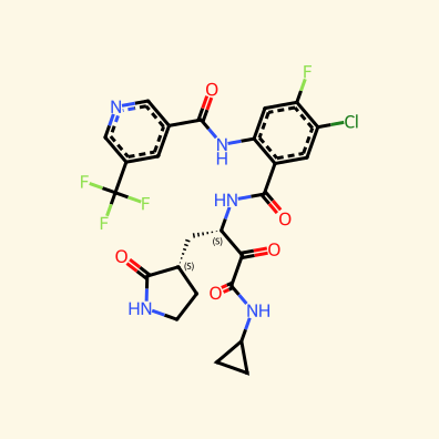 O=C(NC1CC1)C(=O)[C@H](C[C@@H]1CCNC1=O)NC(=O)c1cc(Cl)c(F)cc1NC(=O)c1cncc(C(F)(F)F)c1